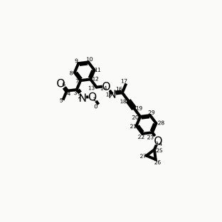 CO/N=C(/C(C)=O)c1ccccc1CO/N=C(\C)C#Cc1ccc(OC2CC2)cc1